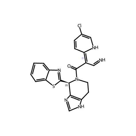 N=C/C(C(=O)N1CCc2[nH]cnc2[C@H]1c1nc2ccccc2s1)=C1/C=CC(Cl)=CN1